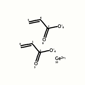 C=CC(=O)[O-].C=CC(=O)[O-].[Ge+2]